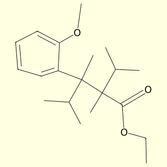 CCOC(=O)C(C)(C(C)C)C(C)(c1ccccc1OC)C(C)C